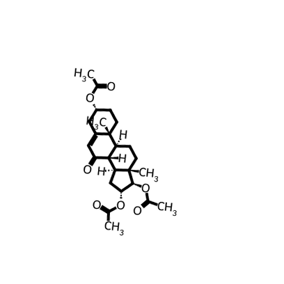 CC(=O)O[C@@H]1CC[C@@]2(C)C(=CC(=O)[C@H]3[C@@H]4C[C@@H](OC(C)=O)[C@H](OC(C)=O)[C@@]4(C)CC[C@@H]32)C1